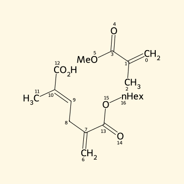 C=C(C)C(=O)OC.C=C(CC=C(C)C(=O)O)C(=O)OCCCCCC